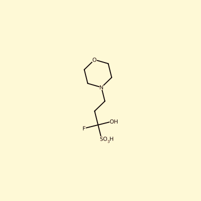 O=S(=O)(O)C(O)(F)CCN1CCOCC1